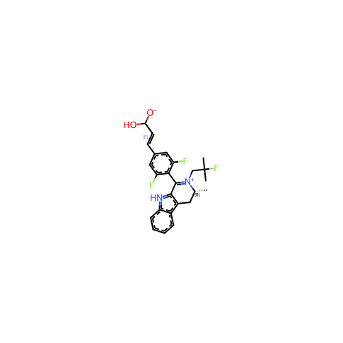 C[C@@H]1Cc2c([nH]c3ccccc23)C(c2c(F)cc(/C=C/C([O-])O)cc2F)=[N+]1CC(C)(C)F